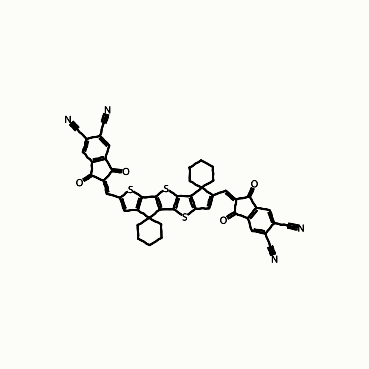 N#Cc1cc2c(cc1C#N)C(=O)C(=CC1=Cc3sc4c5c(sc4c3C13CCCCC3)-c1sc(C=C3C(=O)c4cc(C#N)c(C#N)cc4C3=O)cc1C51CCCCC1)C2=O